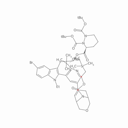 CCn1c(-c2cc(C3=CC4COCC(C3)N4C(=O)OCC[Si](C)(C)C)cnc2[C@H](C)OC)c(CC(C)(C)COC(=O)[C@@H]2CCCN(C(=O)OC(C)(C)C)N2C(=O)OC(C)(C)C)c2cc(Br)ccc21